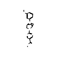 O=C(NO)c1cnc(N2CC3CC2CN3c2cccc(OC(F)(F)F)c2)nc1